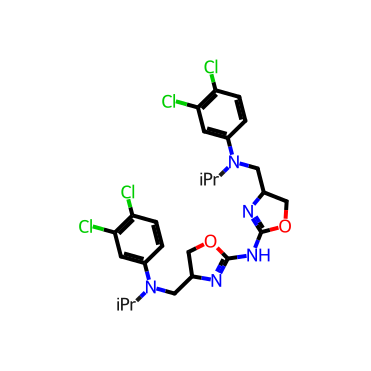 CC(C)N(CC1COC(NC2=NC(CN(c3ccc(Cl)c(Cl)c3)C(C)C)CO2)=N1)c1ccc(Cl)c(Cl)c1